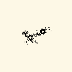 CC(C)(C)OC(=O)C[C@H]1C[C@@H](COC(=O)Oc2ccc([N+](=O)[O-])cc2)OC(C)(C)O1